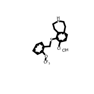 Cl.FC(F)(F)Oc1ccccc1CSc1c(Cl)ccc2c1CCNCC2